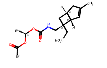 CCC(=O)O[C@H](OC(=O)NC[C@@]1(CC(=O)O)C[C@H]2CC(C)=C[C@@H]21)C(C)C